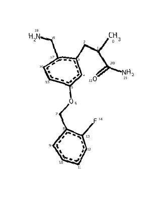 CC(Cc1cc(OCc2ccccc2F)ccc1CN)C(N)=O